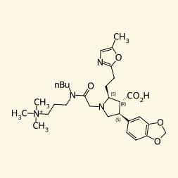 CCCCN(CCC[N+](C)(C)C)C(=O)CN1C[C@H](c2ccc3c(c2)OCO3)[C@@H](C(=O)O)[C@@H]1CCc1ncc(C)o1